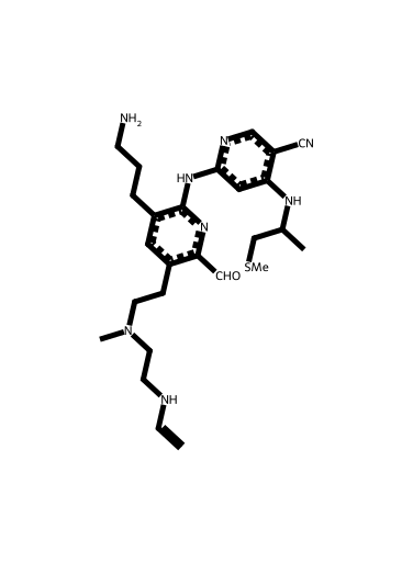 C=CNCCN(C)CCc1cc(CCCN)c(Nc2cc(NC(C)CSC)c(C#N)cn2)nc1C=O